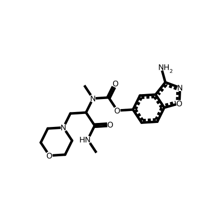 CNC(=O)C(CN1CCOCC1)N(C)C(=O)Oc1ccc2onc(N)c2c1